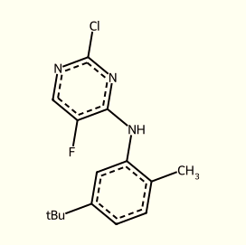 Cc1ccc(C(C)(C)C)cc1Nc1nc(Cl)ncc1F